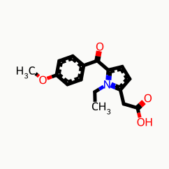 CCn1c(CC(=O)O)ccc1C(=O)c1ccc(OC)cc1